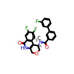 CN(C(=O)c1cccc(-c2cccc(F)c2)c1)[C@H]1COCc2[nH]c(=O)c3cc(F)c(F)cc3c21